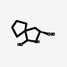 O=C[C@@H]1CC2(CCCC2)C(O)N1